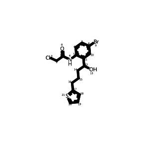 O=C(CCl)Nc1ccc(Br)cc1C(O)CCCc1cccs1